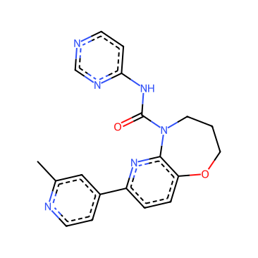 Cc1cc(-c2ccc3c(n2)N(C(=O)Nc2ccncn2)CCCO3)ccn1